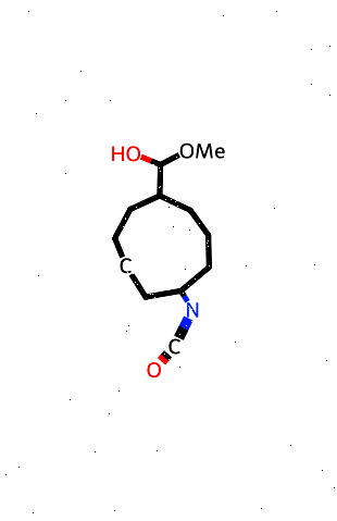 COC(O)C1CCCCC(N=C=O)CCC1